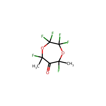 CC1(F)OC(F)(F)C(F)(F)OC(C)(F)C1=O